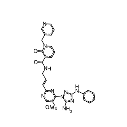 COc1cnc(C=CCNC(=O)c2cccn(Cc3cccnc3)c2=O)nc1-n1nc(Nc2ccccc2)nc1N